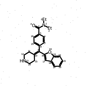 CCN(CC)C(=O)c1ccc(C(=C2CCNCC2)c2cc3ccccc3o2)cc1